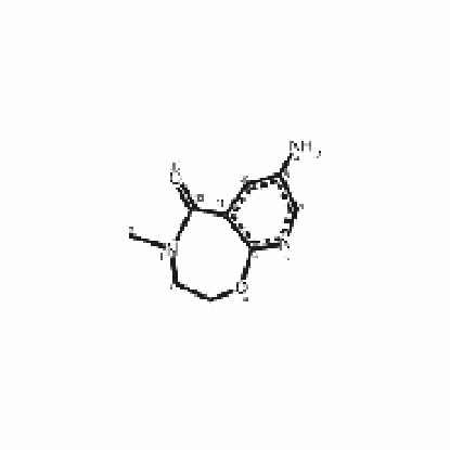 CN1CCOc2ncc(N)cc2C1=O